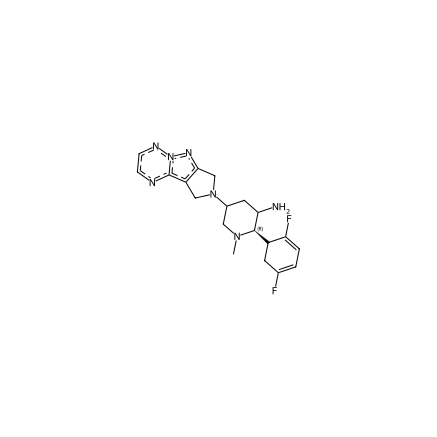 CN1CC(N2Cc3nn4nccnc4c3C2)CC(N)[C@H]1C1CC(F)=CC=C1F